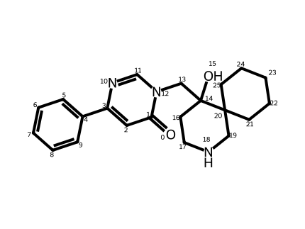 O=c1cc(-c2ccccc2)ncn1CC1(O)CCNCC12CCCCC2